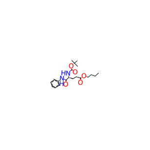 CCCCOC(=O)CC[C@H](NC(=O)OC(C)(C)C)C(=O)Nc1ccccc1